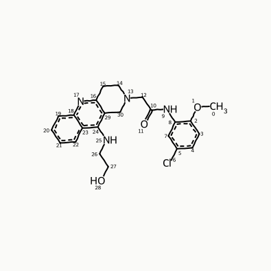 COc1ccc(Cl)cc1NC(=O)CN1CCc2nc3ccccc3c(NCCO)c2C1